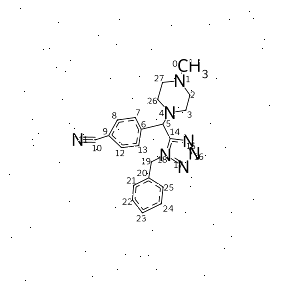 CN1CCN(C(c2ccc(C#N)cc2)c2nnnn2Cc2ccccc2)CC1